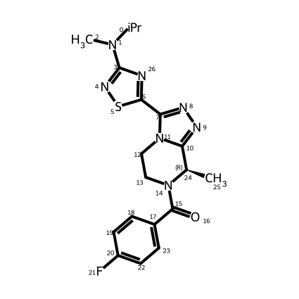 CC(C)N(C)c1nsc(-c2nnc3n2CCN(C(=O)c2ccc(F)cc2)[C@@H]3C)n1